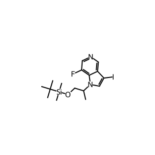 CC(CO[Si](C)(C)C(C)(C)C)n1cc(I)c2cncc(F)c21